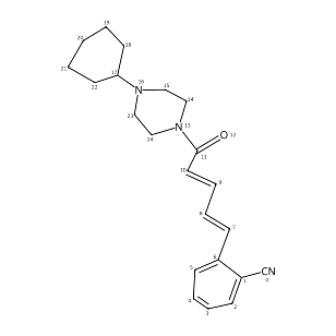 N#Cc1ccccc1C=CC=CC(=O)N1CCN(C2CCCCC2)CC1